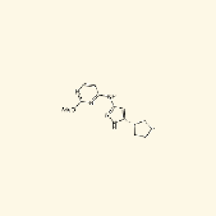 COc1nccc(Nc2cc([C@@H]3C[CH]CC3)[nH]n2)n1